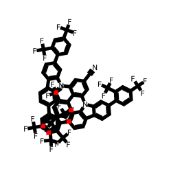 N#Cc1cc(-n2c3cc(-c4ccc(C(F)(F)F)cc4C(F)(F)F)ccc3c3ccc(-c4ccc(C(F)(F)F)cc4C(F)(F)F)cc32)c(-c2ccc(C(F)(F)F)cc2C(F)(F)F)c(-n2c3cc(-c4ccc(C(F)(F)F)cc4C(F)(F)F)ccc3c3ccc(-c4ccc(C(F)(F)F)cc4C(F)(F)F)cc32)c1